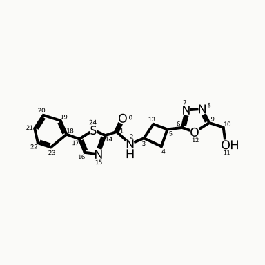 O=C(NC1CC(c2nnc(CO)o2)C1)c1ncc(-c2ccccc2)s1